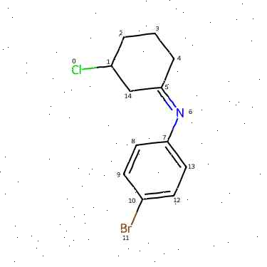 ClC1CCCC(=Nc2ccc(Br)cc2)C1